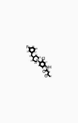 CC(=O)CC(=O)Nc1ccc(N2CCC(Cc3cccc(F)c3)CC2)c(Cl)c1